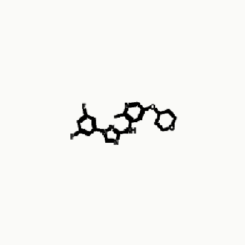 Cc1ncc(OC2CCOCC2)cc1Nc1ncn(-c2cc(F)cc(F)c2)n1